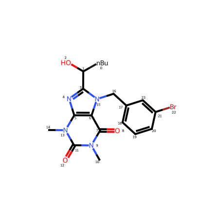 CCCCC(O)c1nc2c(c(=O)n(C)c(=O)n2C)n1Cc1cccc(Br)c1